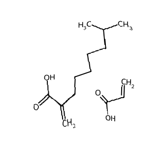 C=C(CCCCCC(C)C)C(=O)O.C=CC(=O)O